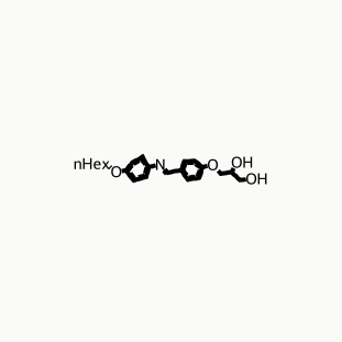 CCCCCCOc1ccc(N=Cc2ccc(OCC(O)CO)cc2)cc1